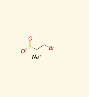 O=S([O-])CCBr.[Na+]